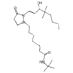 CCCCC(C)(C)C(O)CCN1C(=O)CCN1CCCCCCC(=O)NC(C)(C)C